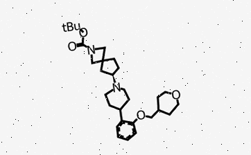 CC(C)(C)OC(=O)N1CC2(CC[C@@H](N3CCC(c4ccccc4OCC4CCOCC4)CC3)C2)C1